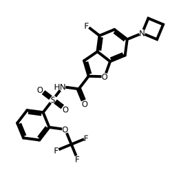 O=C(NS(=O)(=O)c1ccccc1OC(F)(F)F)c1cc2c(F)cc(N3CCC3)cc2o1